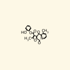 Cc1cccnc1C(=O)c1c(C=O)oc(C)c1C(=O)Oc1ccccc1O